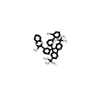 Cc1nc2ccccc2nc1-c1cccc(C2(c3cccc(-c4ccccc4O)n3)c3cc(C(C)(C)C)ccc3-c3ccc(C(C)(C)C)cc32)c1